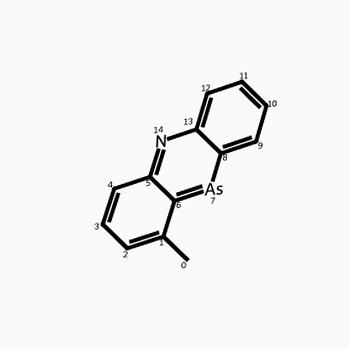 Cc1cccc2c1=[As]c1ccccc1N=2